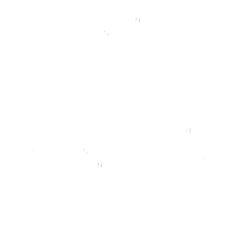 Cc1cccc(OCc2nn(C3CCOC3)c3ccc(-c4ccc5ccnc(N)c5c4)cc23)c1CC(=O)O